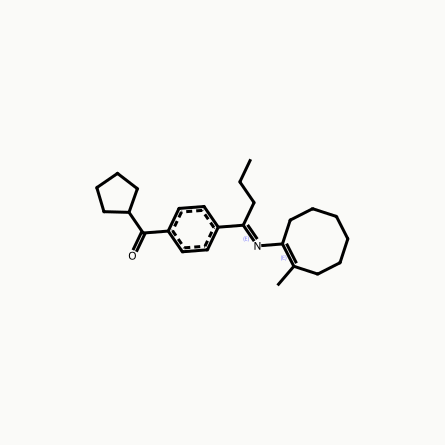 CCC/C(=N\C1=C(/C)CCCCCC1)c1ccc(C(=O)C2CCCC2)cc1